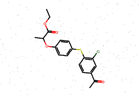 CCOC(=O)C(C)Oc1ccc(Sc2ccc(C(C)=O)cc2Cl)cc1